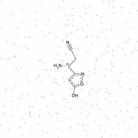 N#CC[C@@H](N)c1cc(O)on1